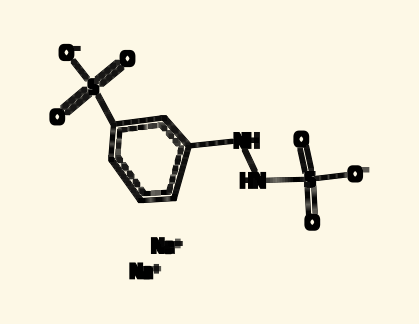 O=S(=O)([O-])NNc1cccc(S(=O)(=O)[O-])c1.[Na+].[Na+]